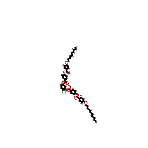 C=CCCCCCCCCOc1ccc(C(=O)Oc2ccc(C(=O)Oc3ccc(Cl)c(OC(=O)c4ccc(OC(=O)C5C=CC(OCCCCCCCCCC)=CC5)cc4)c3)cc2)cc1